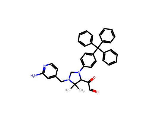 CC1(C)C(C(=O)C=O)N(c2ccc(C(c3ccccc3)(c3ccccc3)c3ccccc3)cc2)CN1Cc1ccnc(N)c1